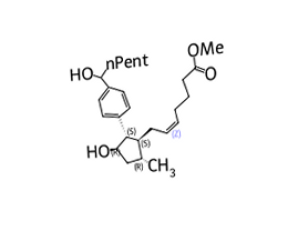 CCCCCC(O)c1ccc([C@@H]2[C@@H](C/C=C\CCCC(=O)OC)[C@H](C)C[C@H]2O)cc1